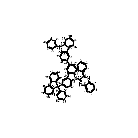 c1ccc(-c2nc3ccccc3nc2-n2c3ccc(-c4ccc5c(c4)c4ccccc4n5-c4ccccc4)cc3c3cc(C(c4ccccc4)(c4ccccc4)c4ccccc4)ccc32)cc1